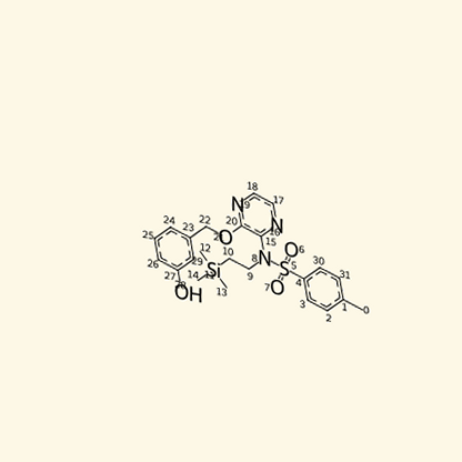 Cc1ccc(S(=O)(=O)N(CC[Si](C)(C)C)c2nccnc2OCc2cccc(O)c2)cc1